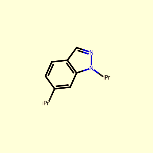 CC(C)c1ccc2cnn(C(C)C)c2c1